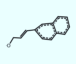 [O]C/C=C/c1ccc2ccccc2c1